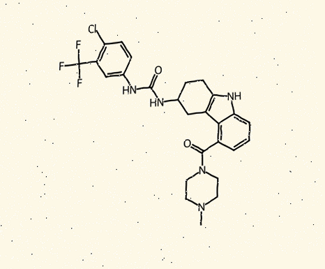 CN1CCN(C(=O)c2cccc3[nH]c4c(c23)CC(NC(=O)Nc2ccc(Cl)c(C(F)(F)F)c2)CC4)CC1